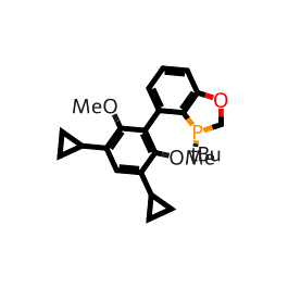 COc1c(C2CC2)cc(C2CC2)c(OC)c1-c1cccc2c1P(C(C)(C)C)CO2